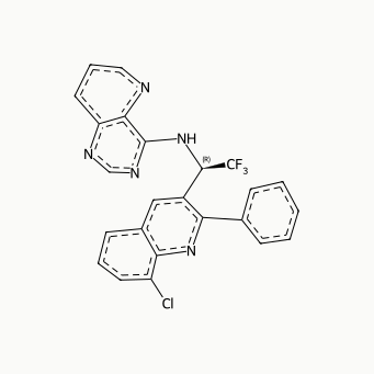 FC(F)(F)[C@H](Nc1ncnc2cccnc12)c1cc2cccc(Cl)c2nc1-c1ccccc1